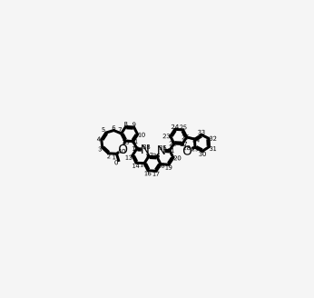 CC1/C=C\C=C/Cc2cccc(-c3ccc4ccc5ccc(-c6cccc7c6oc6ccccc67)nc5c4n3)c2O1